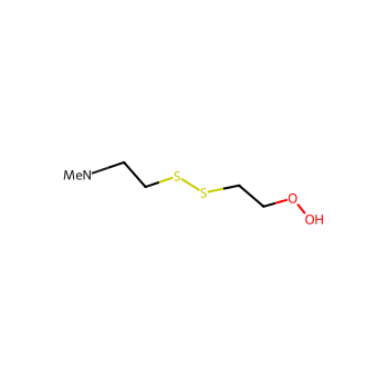 CNCCSSCCOO